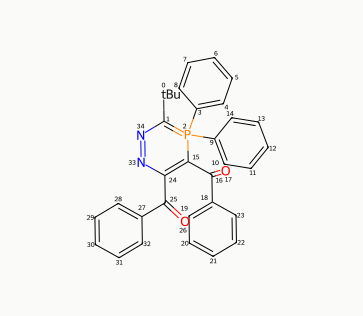 CC(C)(C)C1=P(c2ccccc2)(c2ccccc2)C(C(=O)c2ccccc2)=C(C(=O)c2ccccc2)N=N1